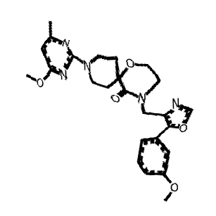 COc1cccc(-c2ocnc2CN2CCOC3(CCN(c4nc(C)cc(OC)n4)CC3)C2=O)c1